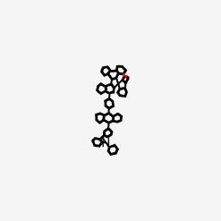 c1ccc(-n2c3ccccc3c3cc(-c4c5ccccc5c(-c5ccc(-c6cc7c(c8ccccc68)-c6c(c8ccccc8c8ccccc68)C76c7ccccc7-c7ccccc76)cc5)c5ccccc45)ccc32)cc1